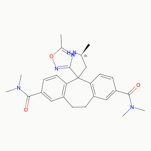 Cc1nc(C2(C[C@H](C)N)c3ccc(C(=O)N(C)C)cc3CCc3cc(C(=O)N(C)C)ccc32)no1